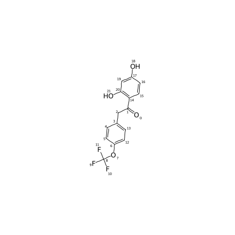 O=C(Cc1ccc(OC(F)(F)F)cc1)c1ccc(O)cc1O